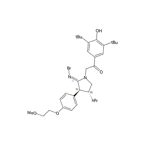 CCC[C@H]1CN(CC(=O)c2cc(C(C)(C)C)c(O)c(C(C)(C)C)c2)/C(=N\Br)[C@@H]1c1ccc(OCCOC)cc1